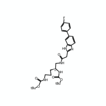 CC(C)(C)OC(=O)NCCC[C@@H](CNC(=O)Cc1nc2ccc(-c3ccc(F)cc3)cc2[nH]1)NC(=O)OC(C)(C)C